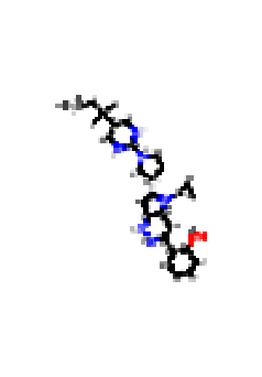 CC(C)(CC(=O)O)c1cnc(N2CC[C@H](c3cc4nnc(-c5ccccc5O)cc4n3C3CC3)C2)nc1